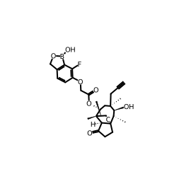 C#CC[C@]1(C)C[C@@H](OC(=O)COc2ccc3c(c2F)B(O)OC3)[C@]2(C)[C@H](C)CC[C@]3(CCC(=O)[C@H]32)[C@@H](C)[C@@H]1O